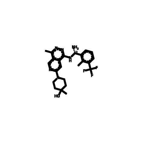 Cc1c([C@@H](N)Nc2nnc(C)c3cnc(N4CCC(C)(O)CC4)cc23)cccc1C(F)(F)F